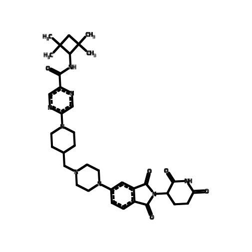 CC1(C)CC(C)(C)C1NC(=O)c1cnc(N2CCC(CN3CCN(c4ccc5c(c4)C(=O)N(C4CCC(=O)NC4=O)C5=O)CC3)CC2)cn1